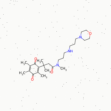 CC1=C(C)C(=O)C(C(C)(C)CC(=O)N(C)CCCNCCCN2CCOCC2)=C(C)C1=O